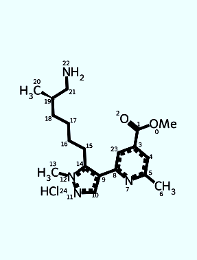 COC(=O)c1cc(C)nc(-c2cnn(C)c2CCCC[C@@H](C)CN)c1.Cl